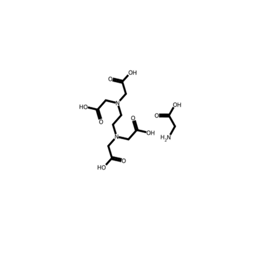 NCC(=O)O.O=C(O)CN(CCN(CC(=O)O)CC(=O)O)CC(=O)O